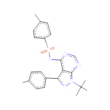 Cc1ccc(-c2nn(C(C)(C)C)c3ncnc(NS(=O)(=O)c4ccc(C)cc4)c23)cc1